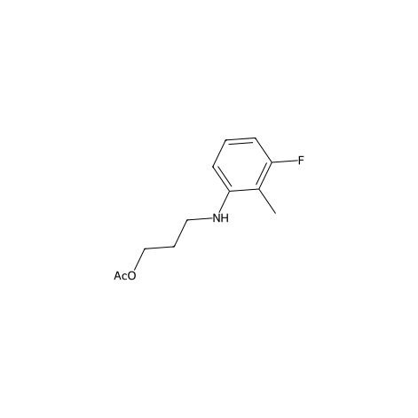 CC(=O)OCCCNc1cccc(F)c1C